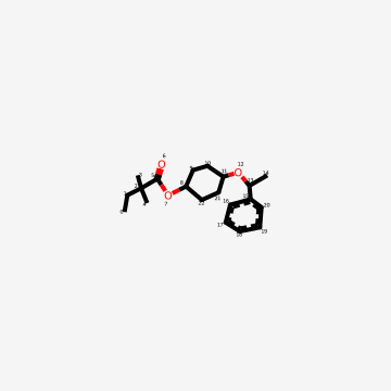 CCC(C)(C)C(=O)OC1CCC(OC(C)c2ccccc2)CC1